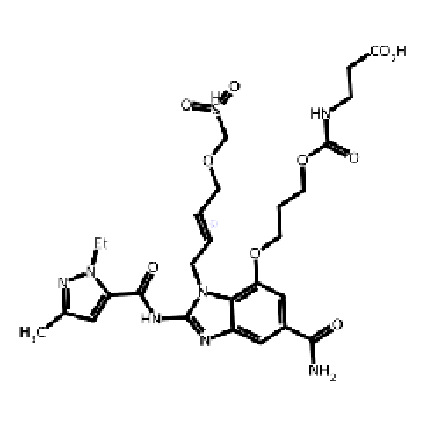 CCn1nc(C)cc1C(=O)Nc1nc2cc(C(N)=O)cc(OCCCOC(=O)NCCC(=O)O)c2n1C/C=C/COC[SH](=O)=O